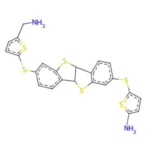 NCc1ccc(Sc2ccc3c(c2)SC2c4ccc(Sc5ccc(N)s5)cc4SC32)s1